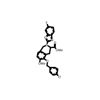 COC(=O)C1Cc2c(ccc(OC)c2OCc2ccc(Cl)cc2)CN1c1nc2ccc(F)cc2o1